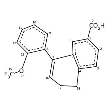 O=C(O)c1ccc2c(c1)C(c1ccccc1OC(F)(F)F)=CCC2